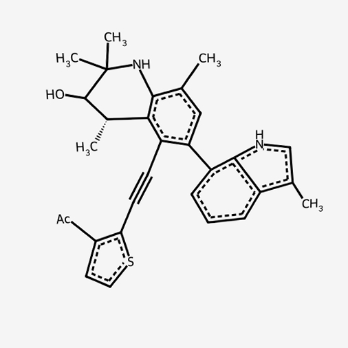 CC(=O)c1ccsc1C#Cc1c(-c2cccc3c(C)c[nH]c23)cc(C)c2c1[C@H](C)C(O)C(C)(C)N2